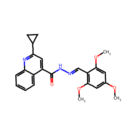 COc1cc(OC)c(/C=N/NC(=O)c2cc(C3CC3)nc3ccccc23)c(OC)c1